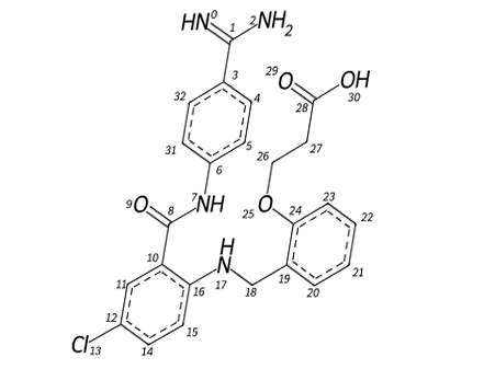 N=C(N)c1ccc(NC(=O)c2cc(Cl)ccc2NCc2ccccc2OCCC(=O)O)cc1